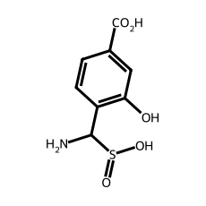 NC(c1ccc(C(=O)O)cc1O)S(=O)O